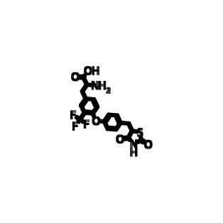 NC(Cc1ccc(Oc2ccc(CC3SC(=O)NC3=O)cc2)c(C(F)(F)F)c1)C(=O)O